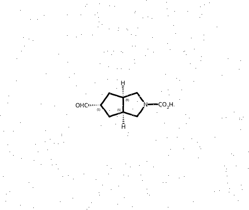 O=C[C@H]1C[C@@H]2CN(C(=O)O)C[C@@H]2C1